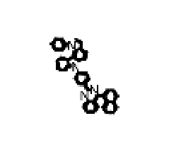 c1ccc(-n2ccc3ccc4c(c5ccccc5n4-c4ccc(-c5nc(-c6cccc7ccccc67)c6ccccc6n5)cc4)c32)cc1